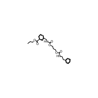 CCCOC(=O)c1cccc(CNC(=O)OCCCOC(=O)NCCc2ccccc2)c1